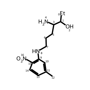 CCC(O)C(N)CCCNc1cc(C)ccc1[N+](=O)[O-]